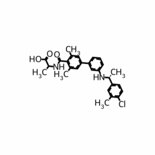 Cc1cc([C@@H](C)Nc2cccc(-c3cc(C)c(C(=O)NC(C)C(=O)O)c(C)c3)c2)ccc1Cl